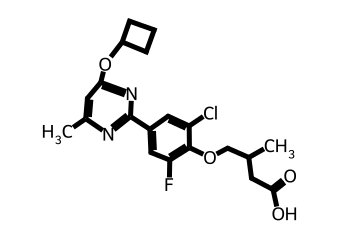 Cc1cc(OC2CCC2)nc(-c2cc(F)c(OCC(C)CC(=O)O)c(Cl)c2)n1